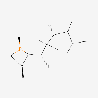 CC(C)C(C)[C@@H](C)C(C)(C)[C@H](C)C1[C@@H](C)C[P@@]1C